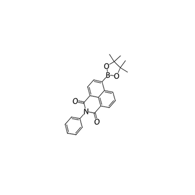 CC1(C)OB(c2ccc3c4c(cccc24)C(=O)N(c2ccccc2)C3=O)OC1(C)C